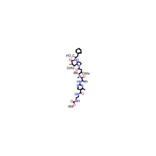 CC[C@H](C)[C@@H]([C@@H](CC(=O)N1CCCC1[C@H](OC)[C@@H](C)C(=O)NC(Cc1ccccc1)C(=O)O)OC)N(C)C(=O)C(Nc1ncc(C(=O)NCCNC(=O)OC(C)(C)C)c(C)n1)C(C)C